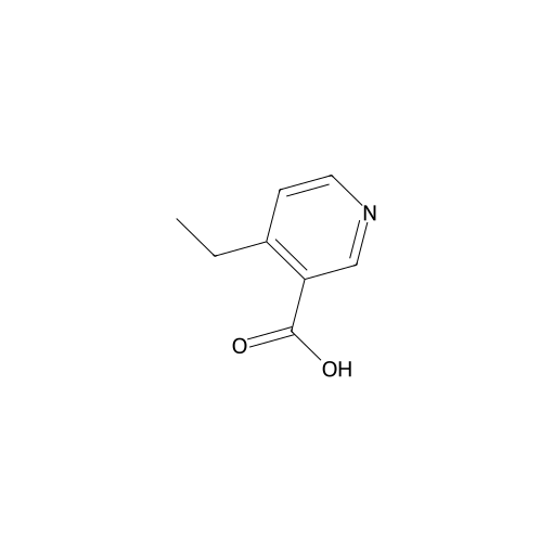 CCc1ccncc1C(=O)O